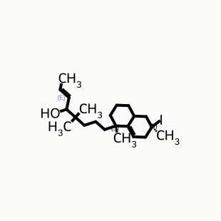 C/C=C/C(O)C(C)(C)CCC[C@]1(C)CCCC2C[C@@](C)(I)CC=C21